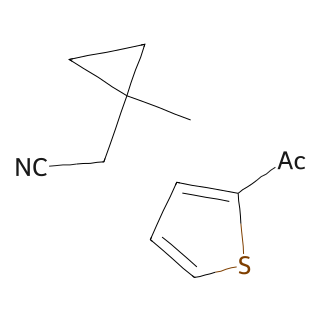 CC(=O)c1cccs1.CC1(CC#N)CC1